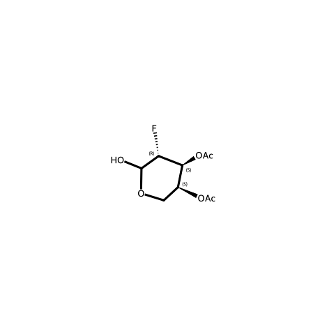 CC(=O)O[C@H]1[C@@H](OC(C)=O)COC(O)[C@@H]1F